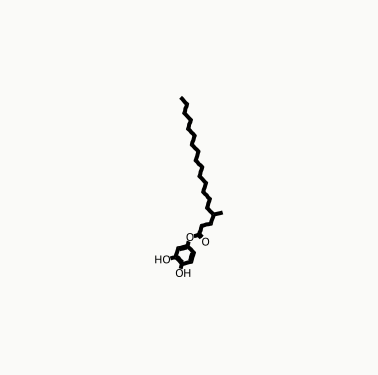 CCCCCCCCCCCCCCCC(C)CCC(=O)Oc1ccc(O)c(O)c1